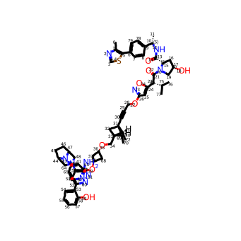 Cc1ncsc1-c1ccc([C@H](C)NC(=O)[C@@H]2C[C@@H](O)CN2C(=O)[C@@H](c2cc(OCC#CC34CC(CO[C@H]5C[C@H](Oc6cc(N7C8CCC7CN(c7cc(-c9ccccc9O)nnc7N)C8)ccn6)C5)([C@@H]3C)[C@@H]4C)no2)C(C)C)cc1